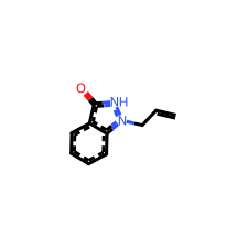 C=CCn1[nH]c(=O)c2ccccc21